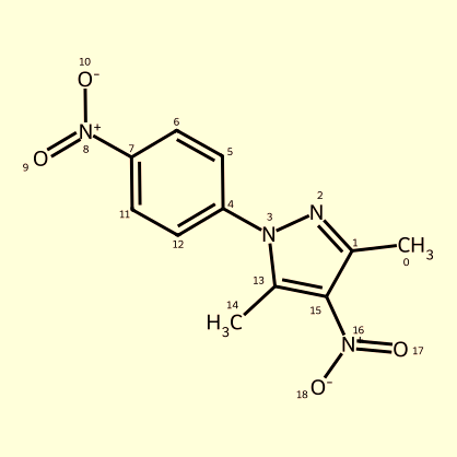 Cc1nn(-c2ccc([N+](=O)[O-])cc2)c(C)c1[N+](=O)[O-]